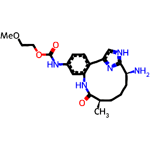 COCCOC(=O)Nc1ccc2c(c1)NC(=O)[C@H](C)CCC[C@H](N)c1nc-2c[nH]1